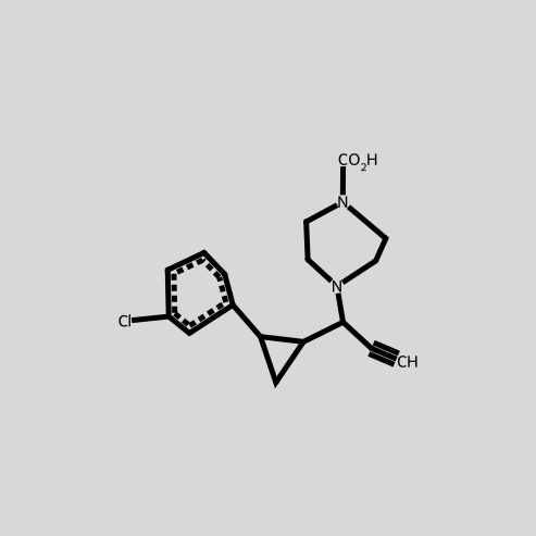 C#CC(C1CC1c1cccc(Cl)c1)N1CCN(C(=O)O)CC1